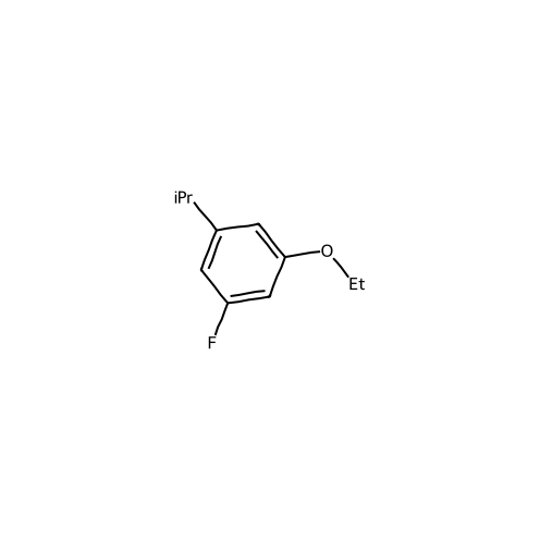 CCOc1cc(F)cc(C(C)C)c1